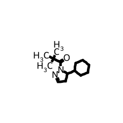 CC(C)(C)C(=O)N1N=CCC1C1CCCCC1